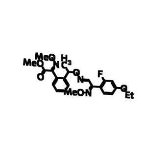 CCOc1ccc(C(C=NOC(C)c2ccccc2C(=NOC)C(=O)OC)=NOC)c(F)c1